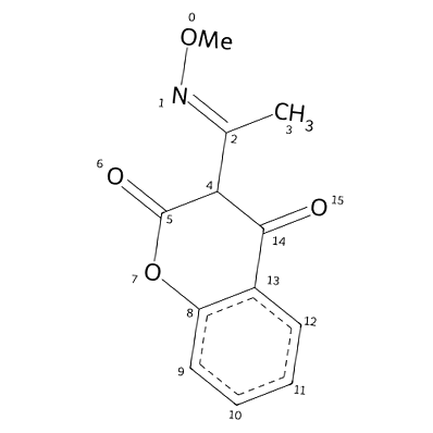 CON=C(C)C1C(=O)Oc2ccccc2C1=O